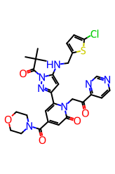 CC(C)(C)C(=O)n1nc(-c2cc(C(=O)N3CCOCC3)cc(=O)n2CC(=O)c2ccncn2)cc1NCc1ccc(Cl)s1